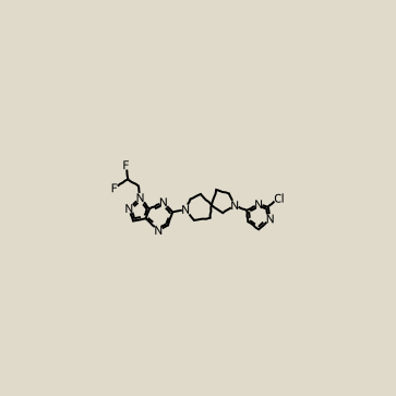 FC(F)Cn1ncc2ncc(N3CCC4(CCN(c5ccnc(Cl)n5)C4)CC3)nc21